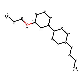 CCCCC1CCC(C2CCCC(OCCC)C2)CC1